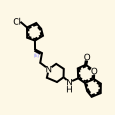 O=c1cc(NC2CCN(C/C=C/c3cccc(Cl)c3)CC2)c2ccccc2o1